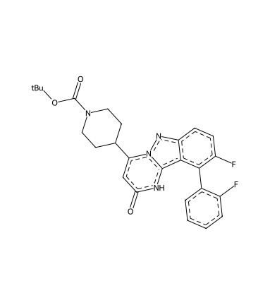 CC(C)(C)OC(=O)N1CCC(c2cc(=O)[nH]c3c4c(-c5ccccc5F)c(F)ccc4nn23)CC1